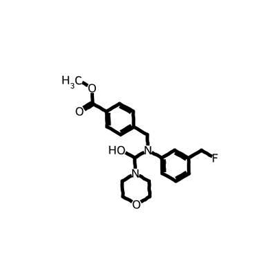 COC(=O)c1ccc(CN(c2cccc(CF)c2)C(O)N2CCOCC2)cc1